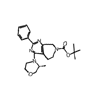 C[C@H]1COCCN1c1nc(-c2ccccc2)nc2c1CCN(C(=O)OC(C)(C)C)C2